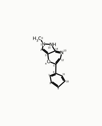 CN1C=C2OC(c3ccccc3)=CN=C2N1